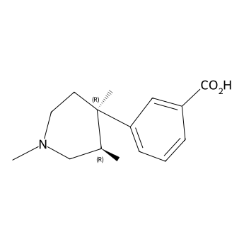 C[C@H]1CN(C)CC[C@@]1(C)c1cccc(C(=O)O)c1